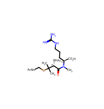 CC(=O)NCSC(C)(C)[C@H](NC(C)=O)C(=O)N(C)[C@@H](CCCNC(=N)N)C(=O)O